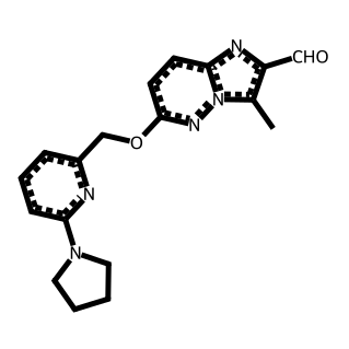 Cc1c(C=O)nc2ccc(OCc3cccc(N4CCCC4)n3)nn12